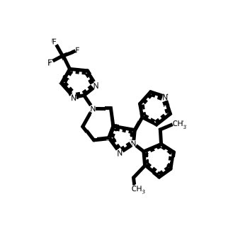 CCc1cccc(CC)c1-n1nc2c(c1-c1ccncc1)CN(c1ncc(C(F)(F)F)cn1)CC2